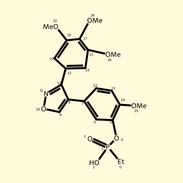 CCP(=O)(O)Oc1cc(-c2conc2-c2cc(OC)c(OC)c(OC)c2)ccc1OC